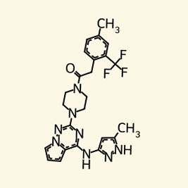 Cc1ccc(CC(=O)N2CCN(c3nc(Nc4cc(C)[nH]n4)c4cccn4n3)CC2)c(C(F)(F)F)c1